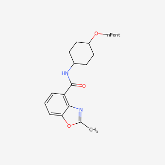 CCCCCOC1CCC(NC(=O)c2cccc3oc(C)nc23)CC1